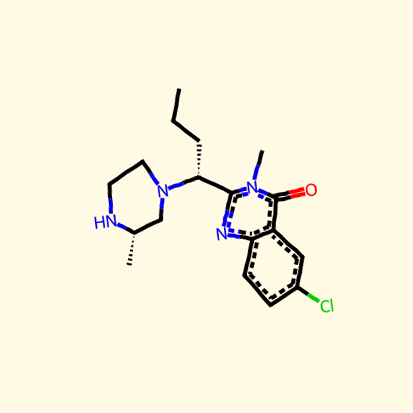 CCC[C@H](c1nc2ccc(Cl)cc2c(=O)n1C)N1CCN[C@@H](C)C1